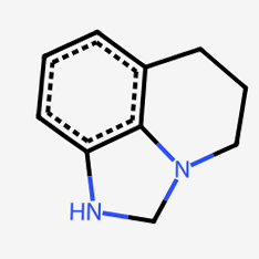 c1cc2c3c(c1)NCN3CCC2